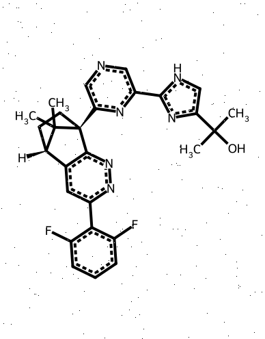 CC(C)(O)c1c[nH]c(-c2cncc([C@@]34CC[C@@H](c5cc(-c6c(F)cccc6F)nnc53)C4(C)C)n2)n1